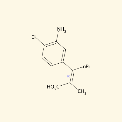 CCC/C(=C(\C)C(=O)O)c1ccc(Cl)c(N)c1